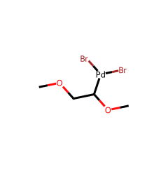 COC[CH](OC)[Pd]([Br])[Br]